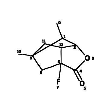 CC1C2OC(=O)C3(F)CC1(C)CC23